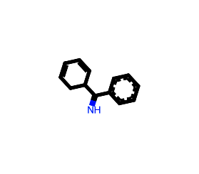 N=C(c1ccccc1)C1C=CC=CC1